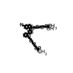 C=CC(=O)OCCOCCOCCOc1ccccc1-c1cccc(-c2c(OCCOCCOCCOC(C)O)ccc3cc(C#N)ccc23)c1